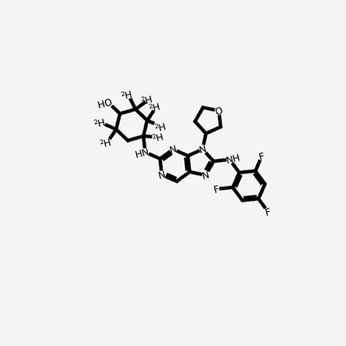 [2H]C1([2H])CC([2H])(Nc2ncc3nc(Nc4c(F)cc(F)cc4F)n(C4CCOC4)c3n2)C([2H])([2H])C([2H])([2H])C1O